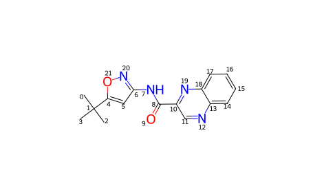 CC(C)(C)c1cc(NC(=O)c2cnc3ccccc3n2)no1